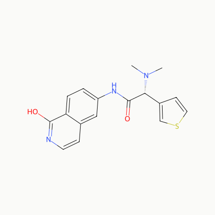 CN(C)[C@@H](C(=O)Nc1ccc2c(O)nccc2c1)c1ccsc1